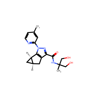 CC(CO)(CO)NC(=O)c1nn(-c2cc(C(F)(F)F)ccn2)c2c1C[C@H]1C[C@@H]21